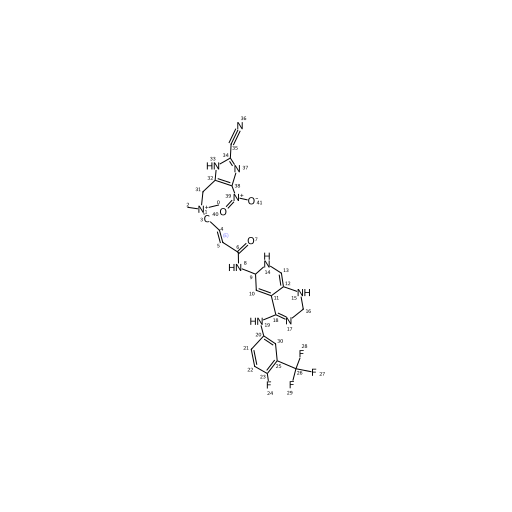 C[N+](C)(C/C=C/C(=O)NC1C=C2C(=CN1)NCN=C2Nc1ccc(F)c(C(F)(F)F)c1)Cc1[nH]c(C#N)nc1[N+](=O)[O-]